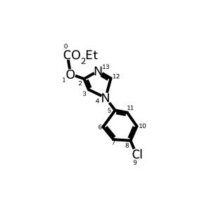 CCOC(=O)Oc1cn(-c2ccc(Cl)cc2)cn1